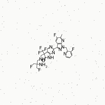 Cc1nc2c(cc1F)c(-c1ncc3c(n1)NC(=O)C3(CNCC(N)(CF)CF)C(F)(F)F)nn2Cc1ncccc1F